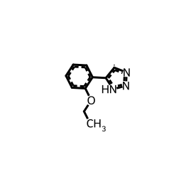 CCOc1ccccc1-c1[c]nn[nH]1